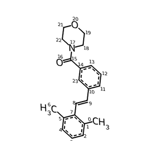 Cc1cccc(C)c1C=Cc1cccc(C(=O)N2CCOCC2)c1